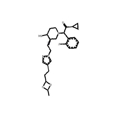 CC1OC(CCc2cnn(C/C=C3\CN(C(C(=O)C4CC4)c4ccccc4F)CCC3S)c2)O1